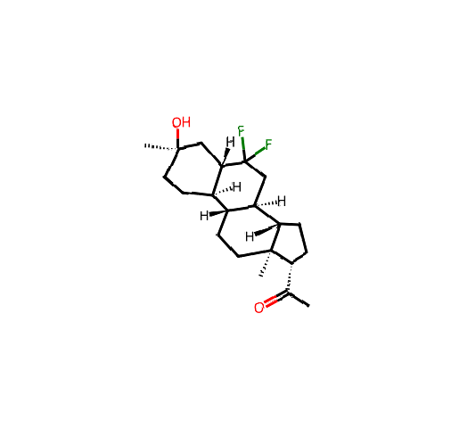 CC(=O)[C@H]1CC[C@H]2[C@@H]3CC(F)(F)[C@H]4C[C@](C)(O)CC[C@@H]4[C@H]3CC[C@]12C